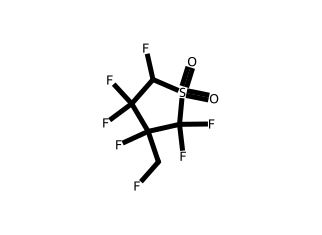 O=S1(=O)C(F)C(F)(F)C(F)(CF)C1(F)F